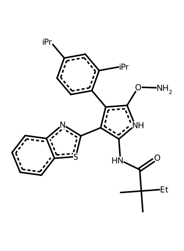 CCC(C)(C)C(=O)Nc1[nH]c(ON)c(-c2ccc(C(C)C)cc2C(C)C)c1-c1nc2ccccc2s1